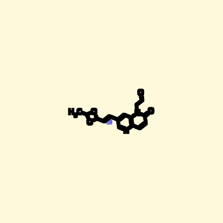 CC1OC(/C=C/c2cnc3ccc(=O)n(CC=O)c3c2)O1